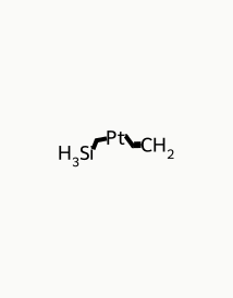 C=C[CH2][Pt][CH2][SiH3]